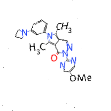 COc1cnc(-n2ncc3c(C)n(-c4cccc(N5CCC5)c4)c(C)c3c2=O)nc1